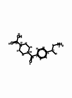 CC(CN)c1ccc(C(=O)N2CCN(C(=O)O)CC2)cc1